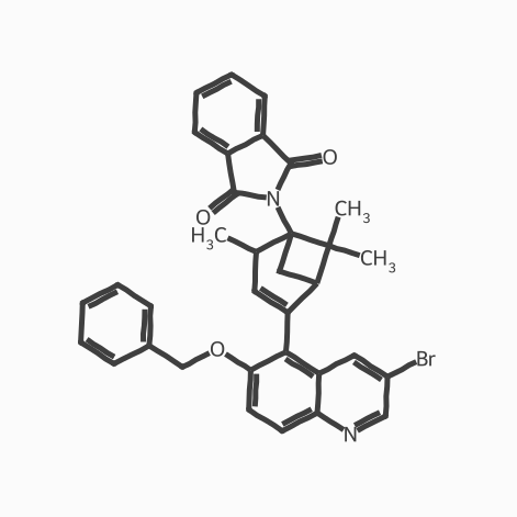 CC1C=C(c2c(OCc3ccccc3)ccc3ncc(Br)cc23)C2CC1(N1C(=O)c3ccccc3C1=O)C2(C)C